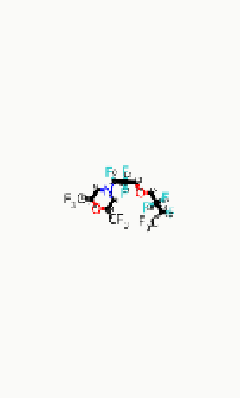 FC(N1CC(C(F)(F)F)OC(C(F)(F)F)C1)C(F)(F)COCC(F)(F)C(F)C(F)(F)F